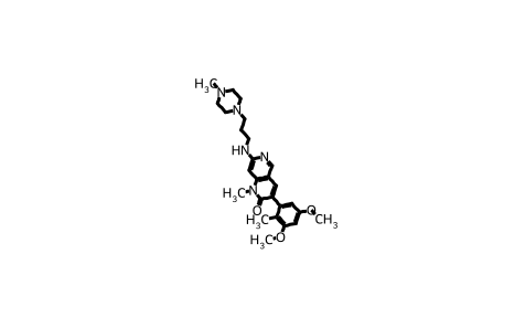 COc1cc(OC)c(C)c(-c2cc3cnc(NCCCN4CCN(C)CC4)cc3n(C)c2=O)c1